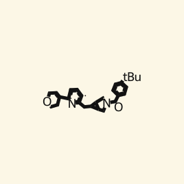 CC(C)(C)c1ccc(C(=O)N2CC3C(Cc4[c]ccc(C5=CCOCC5)n4)C3C2)cc1